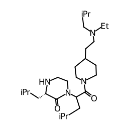 CCN(CCC1CCN(C(=O)C(CC(C)C)N2CCN[C@@H](CC(C)C)C2=O)CC1)CC(C)C